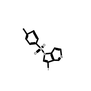 Cc1ccc(S(=O)(=O)n2cc(I)c3cnccc32)cc1